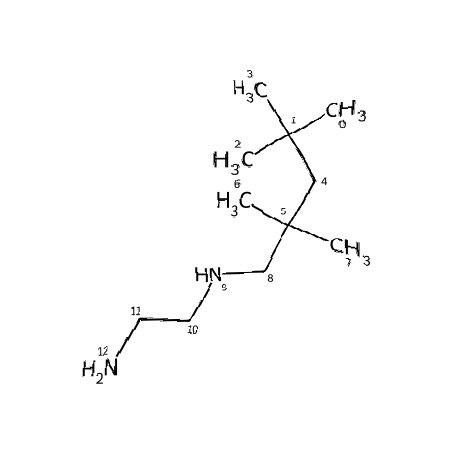 CC(C)(C)CC(C)(C)CNCCN